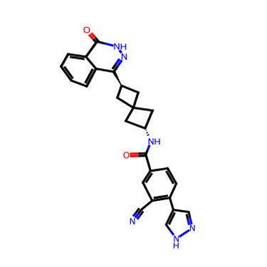 N#Cc1cc(C(=O)N[C@H]2CC3(C2)C[C@H](c2n[nH]c(=O)c4ccccc42)C3)ccc1-c1cn[nH]c1